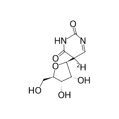 [2H]C1([C@@H]2O[C@H](CO)[C@@H](O)[C@H]2O)C=NC(=O)NC1=O